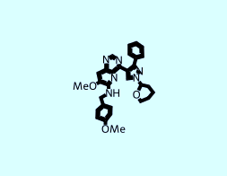 COc1ccc(CNc2nc3c(-c4cn(C5CCCCO5)nc4-c4ccccc4)ncnc3cc2OC)cc1